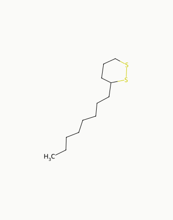 CCCCCCCCC1CCCSS1